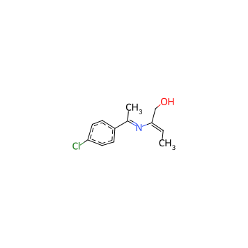 C/C=C(CO)\N=C(/C)c1ccc(Cl)cc1